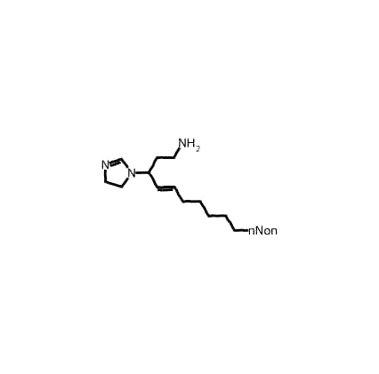 CCCCCCCCCCCCCCC=CC(CCN)N1C=NCC1